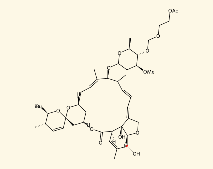 CCC(C)[C@H]1O[C@]2(C=C[C@@H]1C)C[C@@H]1C[C@@H](C/C=C(\C)[C@@H](OC3C[C@H](OC)[C@@H](OCOCCOC(C)=O)[C@H](C)O3)C(C)/C=C/C=C3\CO[C@@H]4[C@H](O)C(C)=C[C@@H](C(=O)O1)[C@]34O)O2